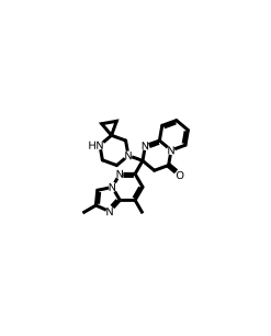 Cc1cn2nc(C3(N4CCNC5(CC5)C4)CC(=O)N4C=CC=CC4=N3)cc(C)c2n1